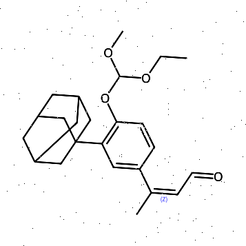 CCOC(OC)Oc1ccc(/C(C)=C\C=O)cc1C12CC3CC(CC(C3)C1)C2